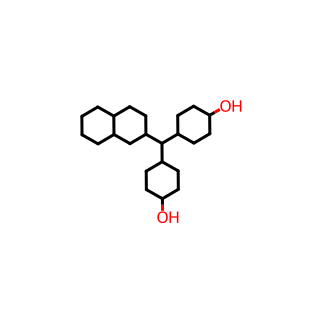 OC1CCC(C(C2CCC(O)CC2)C2CCC3CCCCC3C2)CC1